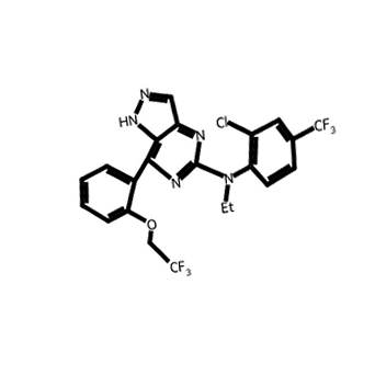 CCN(c1nc(-c2ccccc2OCC(F)(F)F)c2[nH]ncc2n1)c1ccc(C(F)(F)F)cc1Cl